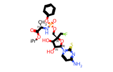 CC(C)OC(=O)[C@H](C)NP(=O)(OC[C@@]1(CF)O[C@@H](n2ccc(N)nc2=S)[C@@H](O)C1O)Oc1ccccc1